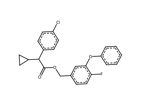 O=C(OCc1ccc(F)c(Oc2ccccc2)c1)C(c1ccc(Cl)cc1)C1CC1